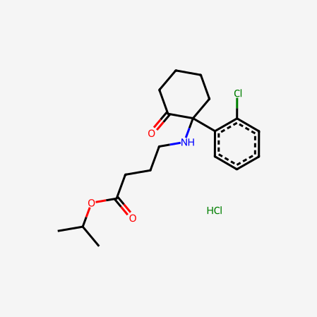 CC(C)OC(=O)CCCNC1(c2ccccc2Cl)CCCCC1=O.Cl